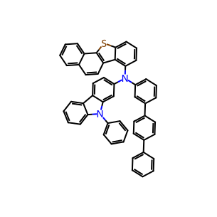 c1ccc(-c2ccc(-c3cccc(N(c4ccc5c6ccccc6n(-c6ccccc6)c5c4)c4cccc5sc6c7ccccc7ccc6c45)c3)cc2)cc1